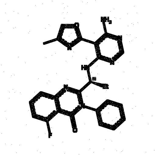 CC[C@H](Nc1ncnc(N)c1-c1nc(C)co1)c1nc2cccc(F)c2c(=O)n1-c1ccccc1